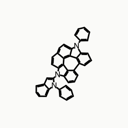 c1ccc(-n2c(-n3c4cccc5c4c4c6c(ccc7c6c6c-5cccc6n7-c5ccccc5)ccc43)cc3ccccc32)cc1